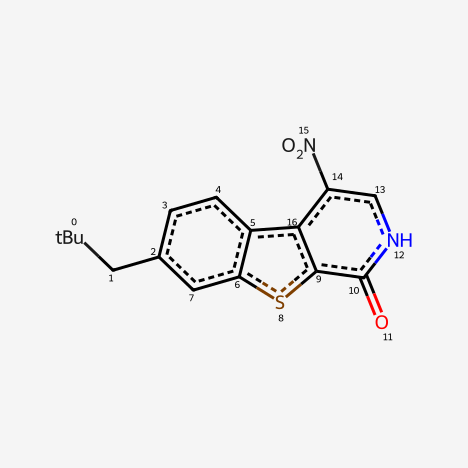 CC(C)(C)Cc1ccc2c(c1)sc1c(=O)[nH]cc([N+](=O)[O-])c12